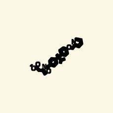 COC(=O)Cc1coc(-c2ccc(C(C)(c3ccc(OCc4ccccn4)cc3)C(C)C)cc2)n1